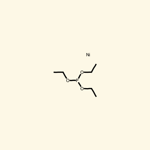 CCOP(OCC)OCC.[Ni]